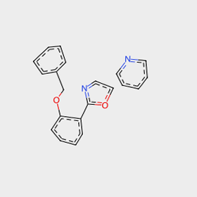 c1ccc(COc2ccccc2-c2ncco2)cc1.c1ccncc1